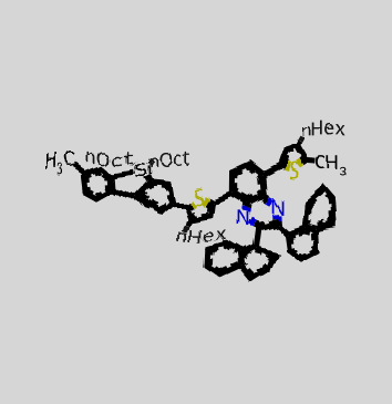 CCCCCCCC[Si]1(CCCCCCCC)c2cc(C)ccc2-c2ccc(-c3sc(-c4ccc(-c5cc(CCCCCC)c(C)s5)c5nc(-c6cccc7ccccc67)c(-c6cccc7ccccc67)nc45)cc3CCCCCC)cc21